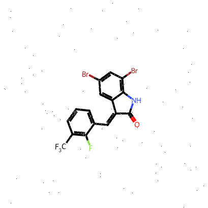 O=C1Nc2c(Br)cc(Br)cc2C1=Cc1cccc(C(F)(F)F)c1F